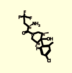 Cc1cc(Cl)cc(F)c1C1(O)[C@H](C)CN(C(=O)[C@@H](N)CC(F)(F)F)C[C@@H]1C